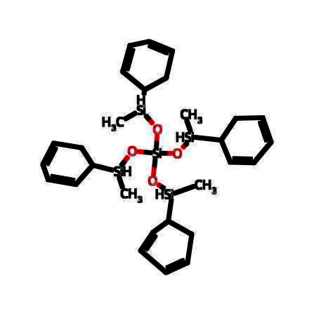 C[SiH](O[Si](O[SiH](C)C1C=CC=CC1)(O[SiH](C)C1C=CC=CC1)O[SiH](C)C1C=CC=CC1)C1C=CC=CC1